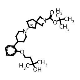 CC(C)(O)CCOc1ccccc1C1CCN([C@@H]2CCC3(C2)CN(C(=O)OC(C)(C)C)C3)CC1